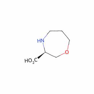 O=C(O)[C@@H]1COCCCN1